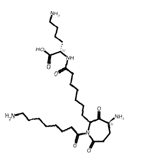 NCCCCCCCC(=O)N1C(=O)CC[C@H](N)C(=O)C1CCCCCCC(=O)N[C@@H](CCCCN)C(=O)O